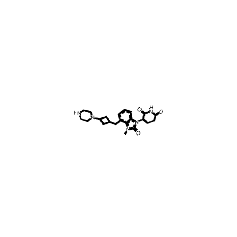 Cn1c(=O)n(C2CCC(=O)NC2=O)c2cccc(CC3CC(N4CCNCC4)C3)c21